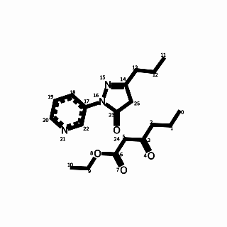 CCCC(=O)CC(=O)OCC.CCCC1=NN(c2cccnc2)C(=O)C1